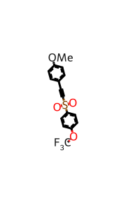 COc1ccc(C#CS(=O)(=O)c2ccc(OC(F)(F)F)cc2)cc1